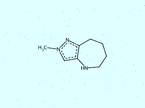 Cn1cc2c(n1)CCCCN2